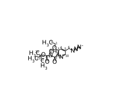 CCOc1cc(CN=[N+]=[N-])cnc1C(=O)N(C)C(=O)OC(C)(C)C